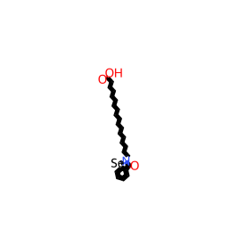 O=C(O)CCCCCCCCCCCCCCCCCn1[se]c2ccccc2c1=O